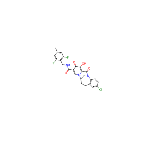 Cc1cc(F)c(CNC(=O)c2cn3c(c(O)c2=O)C(=O)N2CC3CCc3cc(Cl)ccc32)c(F)c1